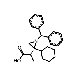 CC(C(=O)O)[C@]1(C2CCCCC2)CN1C(c1ccccc1)c1ccccc1